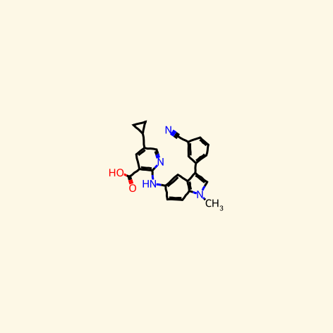 Cn1cc(-c2cccc(C#N)c2)c2cc(Nc3ncc(C4CC4)cc3C(=O)O)ccc21